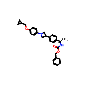 C[C@H](NC(=O)OCc1ccccc1)c1ccc(C2CN(c3ccc(OCC4CC4)cc3)C2)cc1